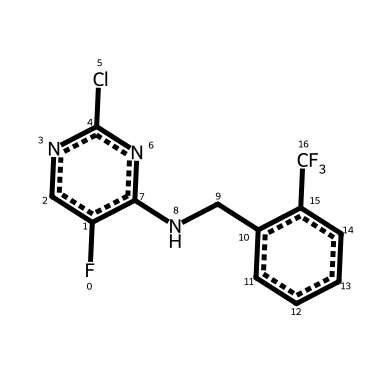 Fc1cnc(Cl)nc1NCc1ccccc1C(F)(F)F